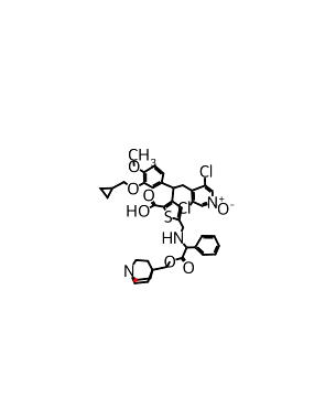 COc1ccc(C(Cc2c(Cl)c[n+]([O-])cc2Cl)c2cc(CNC(C(=O)OCC34CCN(CC3)CC4)c3ccccc3)sc2C(=O)O)cc1OCC1CC1